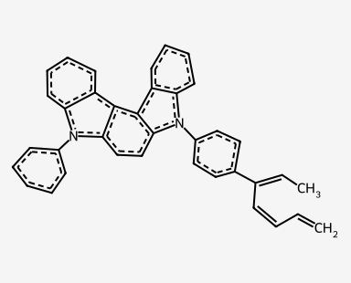 C=C/C=C\C(=C/C)c1ccc(-n2c3ccccc3c3c4c5ccccc5n(-c5ccccc5)c4ccc32)cc1